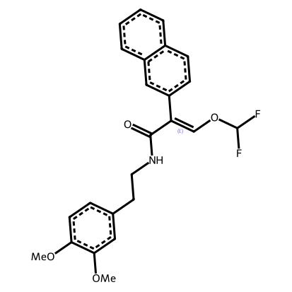 COc1ccc(CCNC(=O)/C(=C/OC(F)F)c2ccc3ccccc3c2)cc1OC